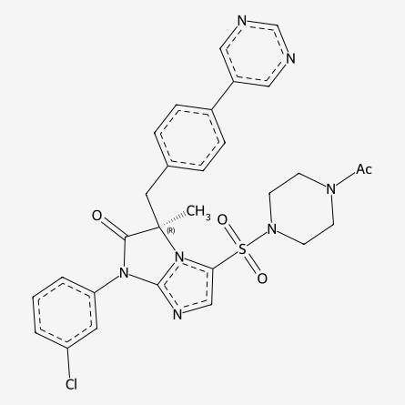 CC(=O)N1CCN(S(=O)(=O)c2cnc3n2[C@](C)(Cc2ccc(-c4cncnc4)cc2)C(=O)N3c2cccc(Cl)c2)CC1